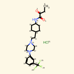 CCC(=O)C(=O)NC1CCC(CCN2CCN(c3cccc(C(F)(F)F)c3)CC2)CC1.Cl